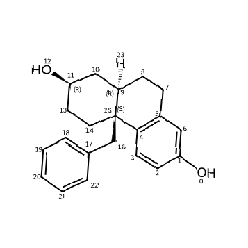 Oc1ccc2c(c1)CC[C@@H]1C[C@H](O)CC[C@@]21Cc1ccccc1